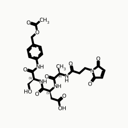 CC(=O)OCc1ccc(NC(=O)[C@H](CO)NC(=O)[C@H](CC(=O)O)NC(=O)[C@@H](C)NC(=O)CCN2C(=O)C=CC2=O)cc1